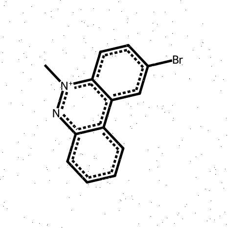 C[n+]1nc2ccccc2c2cc(Br)ccc21